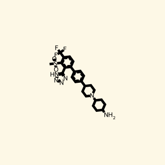 CS(=O)(=O)c1c(C(F)(F)F)ccc(-c2ccc(C3CCN(C4CCC(N)CC4)CC3)cc2)c1-c1nnn[nH]1